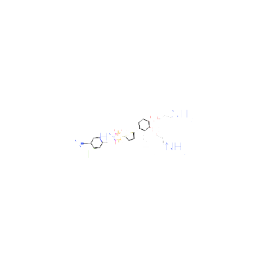 Cc1c(-c2ccc(S(=O)(=O)NCc3ccc(C#N)c(F)c3)s2)ccc(OCCCN)c1OCCCN